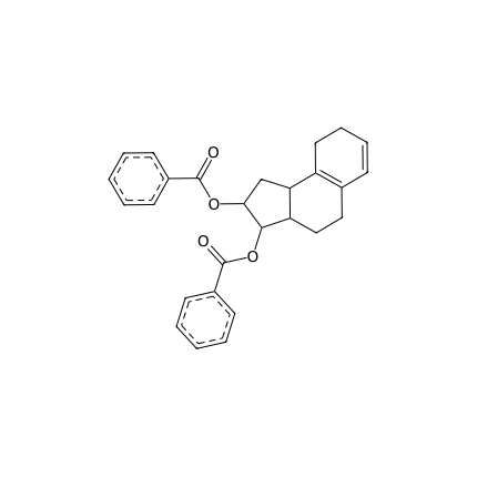 O=C(OC1CC2C3=C(C=CCC3)CCC2C1OC(=O)c1ccccc1)c1ccccc1